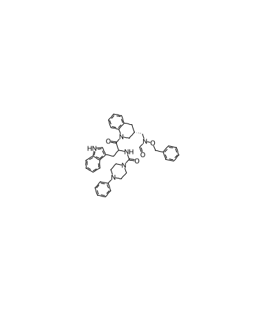 O=CN(C[C@H]1Cc2ccccc2N(C(=O)C(Cc2c[nH]c3ccccc23)NC(=O)N2CCN(c3ccccc3)CC2)C1)OCc1ccccc1